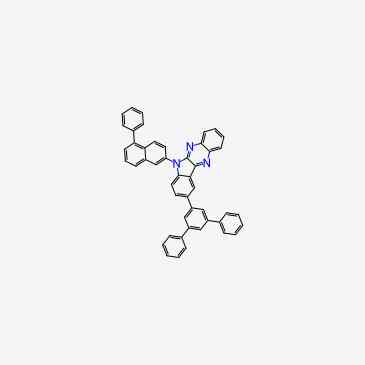 c1ccc(-c2cc(-c3ccccc3)cc(-c3ccc4c(c3)c3nc5ccccc5nc3n4-c3ccc4c(-c5ccccc5)cccc4c3)c2)cc1